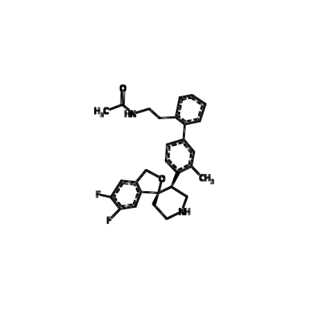 CC(=O)NCCc1ccccc1-c1ccc([C@H]2CNCC[C@@]23OCc2cc(F)c(F)cc23)c(C)c1